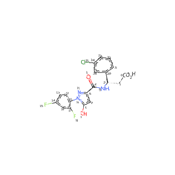 O=C(O)C[C@H](NC(=O)c1cc(O)n(-c2ccc(F)cc2F)n1)c1cccc(Cl)c1